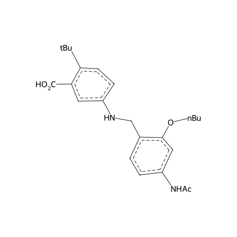 CCCCOc1cc(NC(C)=O)ccc1CNc1ccc(C(C)(C)C)c(C(=O)O)c1